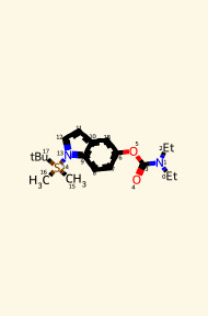 CCN(CC)C(=O)Oc1ccc2c(ccn2S(C)(C)C(C)(C)C)c1